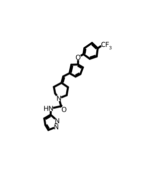 O=C(Nc1cccnn1)N1CCC(=Cc2cccc(Oc3ccc(C(F)(F)F)cc3)c2)CC1